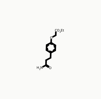 CCOC(=O)COc1ccc(C[CH]C(N)=O)cc1